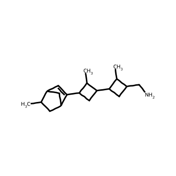 CC1CC2CC1C=C2C1CC(C2CC(CN)C2C)C1C